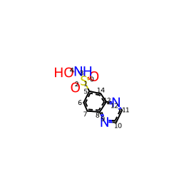 O=S(=O)(NO)c1ccc2nccnc2c1